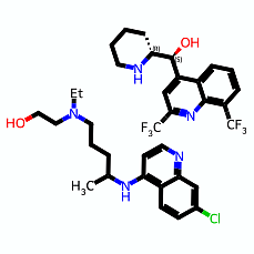 CCN(CCO)CCCC(C)Nc1ccnc2cc(Cl)ccc12.O[C@@H](c1cc(C(F)(F)F)nc2c(C(F)(F)F)cccc12)[C@H]1CCCCN1